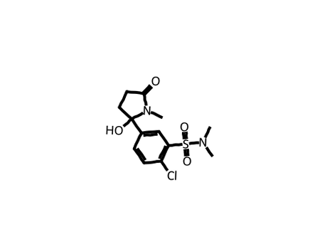 CN1C(=O)CCC1(O)c1ccc(Cl)c(S(=O)(=O)N(C)C)c1